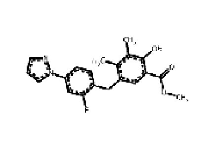 COC(=O)c1cc(Cc2ccc(-n3cccn3)cc2F)c(C)c(C)c1O